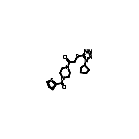 O=C(CSc1nnnn1C1CCCC1)N1CCN(C(=O)c2cccs2)CC1